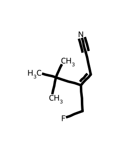 CC(C)(C)/C(=C\C#N)CF